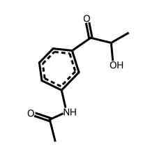 CC(=O)Nc1cccc(C(=O)C(C)O)c1